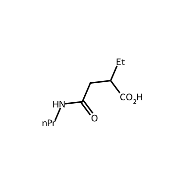 CCCNC(=O)CC(CC)C(=O)O